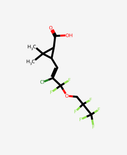 CC1(C)C(C=C(Cl)C(F)(F)OCC(F)(F)C(F)(F)F)C1C(=O)O